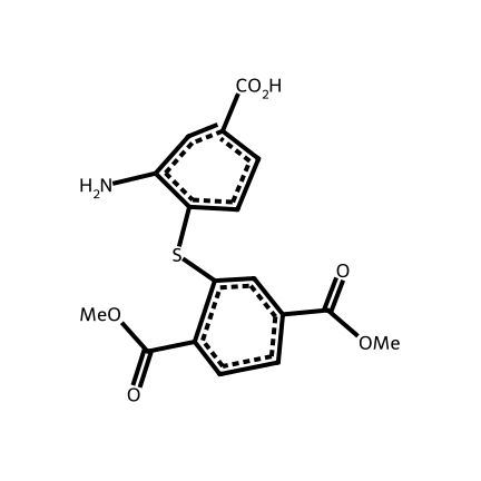 COC(=O)c1ccc(C(=O)OC)c(Sc2ccc(C(=O)O)cc2N)c1